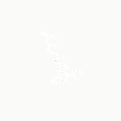 COc1ncc(-c2ccccc2)c2ncc(NC(=O)C3=CCC(CN(C)C)C=C3)nc12